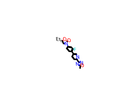 CC[C@H]1CN(c2ccc(-c3ccc(-c4noc(C)n4)nc3)c(F)c2)C(=O)O1